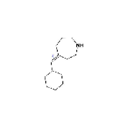 C(=C1\CCCNCC1)/C1CCCCC1